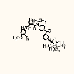 COc1ccc(NC(=O)c2cnn3c2C(=O)N(c2ccc(C(=O)c4cccc(C#C[Si](C(C)C)(C(C)C)C(C)C)c4)cc2)[C@@H](C)C3)cc1C#N